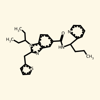 CCCC(NC(=O)c1ccc2c(c1)nc(Cc1cccs1)n2C(CC)CC)c1ccccn1